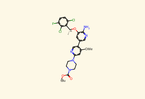 COc1cc(N2CCN(C(=O)OC(C)(C)C)CC2)ncc1-c1cnc(N)c(O[C@H](C)c2c(Cl)ccc(F)c2Cl)c1